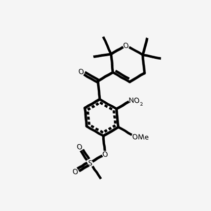 COc1c(OS(C)(=O)=O)ccc(C(=O)C2=CCC(C)(C)OC2(C)C)c1[N+](=O)[O-]